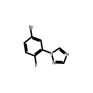 Fc1ccc(Br)cc1-n1cncn1